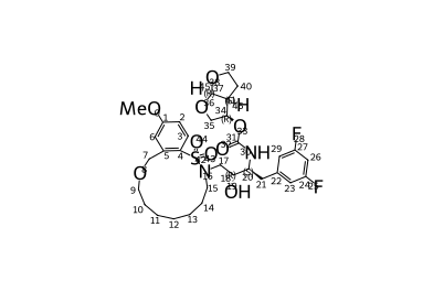 COc1ccc2c(c1)COCCCCCCCN(C[C@@H](O)[C@H](Cc1cc(F)cc(F)c1)NC(=O)O[C@H]1CO[C@H]3OCC[C@H]31)S2(=O)=O